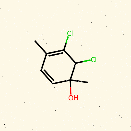 CC1=C(Cl)C(Cl)C(C)(O)C=C1